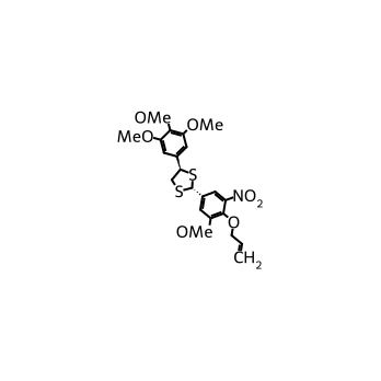 C=CCOc1c(OC)cc([C@@H]2SC[C@@H](c3cc(OC)c(OC)c(OC)c3)S2)cc1[N+](=O)[O-]